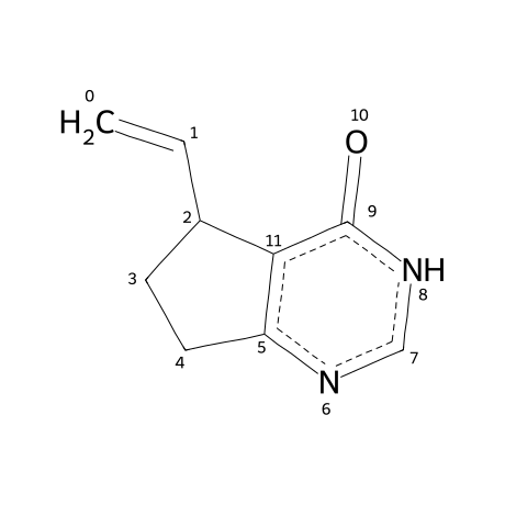 C=CC1CCc2nc[nH]c(=O)c21